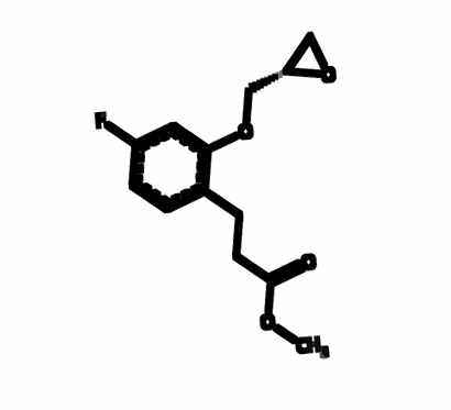 COC(=O)CCc1ccc(F)cc1OC[C@@H]1CO1